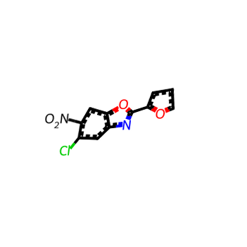 O=[N+]([O-])c1cc2oc(-c3ccco3)nc2cc1Cl